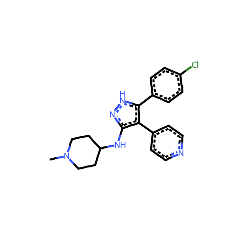 CN1CCC(Nc2n[nH]c(-c3ccc(Cl)cc3)c2-c2ccncc2)CC1